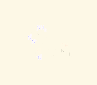 CB(O)c1ccc(-c2ncco2)c(-c2ccc3c(N)cnnc3c2)c1